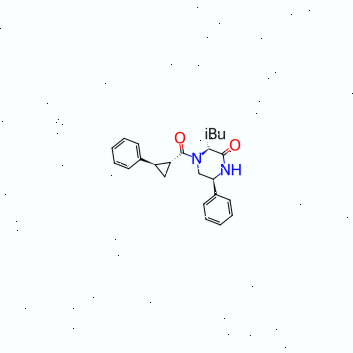 CC[C@@H](C)[C@H]1C(=O)N[C@@H](c2ccccc2)CN1C(=O)[C@@H]1C[C@H]1c1ccccc1